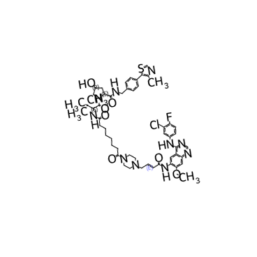 COc1cc2ncnc(Nc3ccc(F)c(Cl)c3)c2cc1NC(=O)/C=C/CN1CCN(C(=O)CCCCCCC(=O)N[C@H](C(=O)N2C[C@H](O)C[C@H]2C(=O)NCc2ccc(-c3scnc3C)cc2)C(C)(C)C)CC1